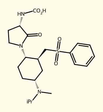 CC(C)N(C)[C@@H]1CC[C@H](N2CC[C@H](NC(=O)O)C2=O)[C@@H](CS(=O)(=O)c2ccccc2)C1